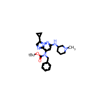 CN1CCCC(Nc2cc(N(Cc3ccccc3)C(=O)OC(C)(C)C)c3ncc(C4CC4)n3n2)C1